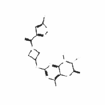 Cc1nc(NC2CN(C(=O)c3cc(C(C)C)on3)C2)nc2c1NC(=O)[C@H](C(C)C)N2C